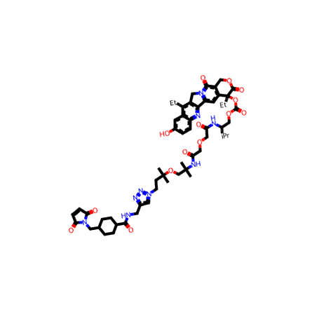 CCc1c2c(nc3ccc(O)cc13)-c1cc3c(c(=O)n1C2)COC(=O)C3(CC)OC(=O)OCC(NC(=O)COCC(=O)NC(C)(C)COC(C)(C)CCn1cc(CNC(=O)C2CCC(CN3C(=O)C=CC3=O)CC2)nn1)C(C)C